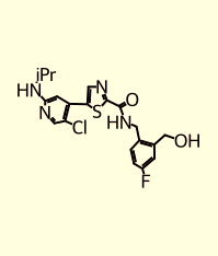 CC(C)Nc1cc(-c2cnc(C(=O)NCc3ccc(F)cc3CO)s2)c(Cl)cn1